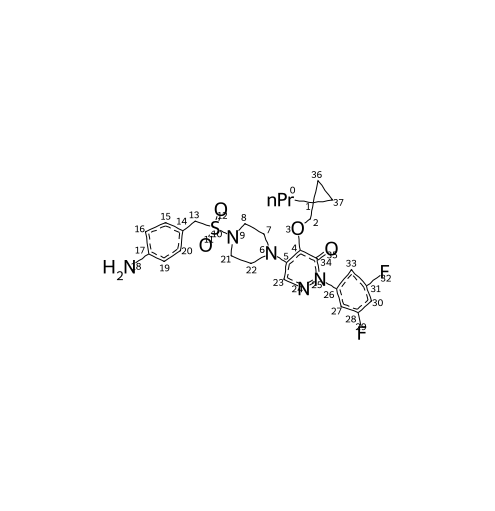 CCCC1(COc2c(N3CCN(S(=O)(=O)Cc4ccc(N)cc4)CC3)cnn(-c3cc(F)cc(F)c3)c2=O)CC1